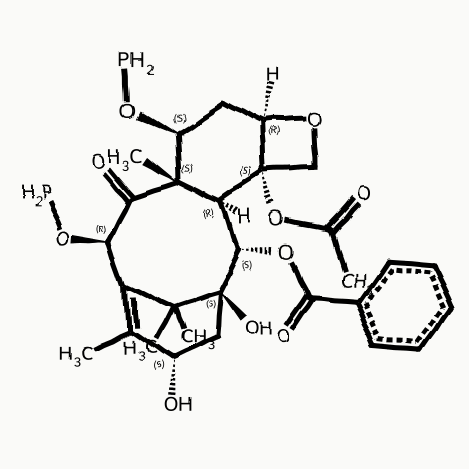 CC(=O)O[C@@]12CO[C@@H]1C[C@H](OP)[C@@]1(C)C(=O)[C@H](OP)C3=C(C)[C@@H](O)C[C@@](O)([C@@H](OC(=O)c4ccccc4)[C@H]21)C3(C)C